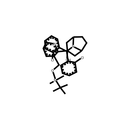 CC(C)(C)[Si](C)(C)OCc1cccnc1C1(O)CC2CCC(C1)N2C(c1ccccc1Cl)c1ccccc1Cl